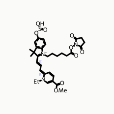 CCN1C=C(C(=O)OC)C=C/C1=C\C=C\C1=[N+](CCCCCC(=O)ON2C(=O)CCC2=O)c2ccc(OS(=O)O)cc2C1(C)C